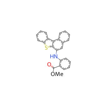 COC(=O)c1ccccc1Nc1cc2ccccc2c2c1sc1ccccc12